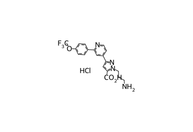 Cl.NCCCn1nc(-c2ccnc(-c3ccc(OC(F)(F)F)cc3)c2)cc1C(=O)O